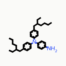 CCCCC(CC)Cc1ccc(N(c2ccc(N)cc2)c2ccc(CC(CC)CCCC)cc2)cc1